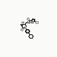 O=C(NCC1CN(c2ccc(C3CCCCC3)cc2)C(=O)C2C[C@@H]12)c1ccc(Cl)s1